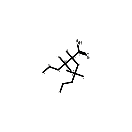 CCCC(C)(C)CC(C)(C(=O)O)C(C)(C)CCC